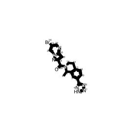 CC1c2cc(-c3nn[nH]n3)ccc2CCN1C(=O)c1cc2ncc(Br)cn2n1